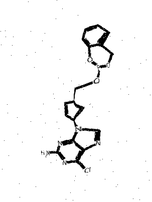 Nc1nc(Cl)c2ncn([C@H]3C=C[C@@H](COP4OCc5ccccc5O4)C3)c2n1